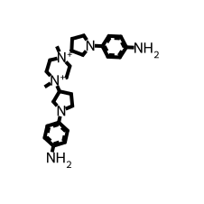 C[N+]1(C2CCN(c3ccc(N)cc3)C2)CC[N+](C)(C2CCN(c3ccc(N)cc3)C2)CC1